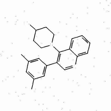 Cc1cc(C)cc(-c2cnc3ccccc3c2N2CCC(N)CC2)c1